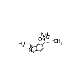 CCCC(c1ccc2cnn(CC)c2c1)S(N)(=O)=O